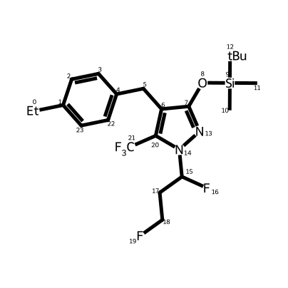 CCc1ccc(Cc2c(O[Si](C)(C)C(C)(C)C)nn(C(F)CCF)c2C(F)(F)F)cc1